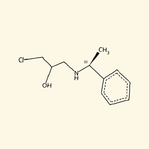 C[C@H](NCC(O)CCl)c1ccccc1